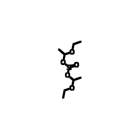 CCOC(C)O[Si](=O)OC(C)OCC